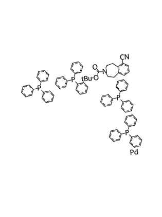 CC(C)(C)OC(=O)N1CCc2cccc(C#N)c2CC1.[Pd].c1ccc(P(c2ccccc2)c2ccccc2)cc1.c1ccc(P(c2ccccc2)c2ccccc2)cc1.c1ccc(P(c2ccccc2)c2ccccc2)cc1.c1ccc(P(c2ccccc2)c2ccccc2)cc1